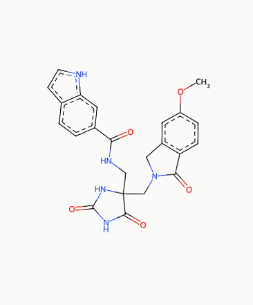 COc1ccc2c(c1)CN(CC1(CNC(=O)c3ccc4cc[nH]c4c3)NC(=O)NC1=O)C2=O